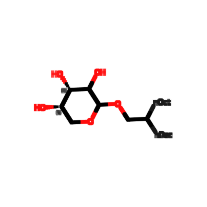 CCCCCCCCCCC(CCCCCCCC)COC1OC[C@H](O)[C@H](O)C1O